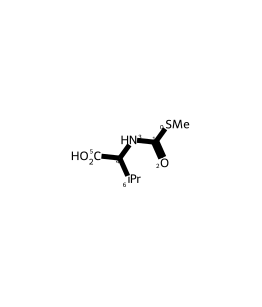 CSC(=O)NC(C(=O)O)C(C)C